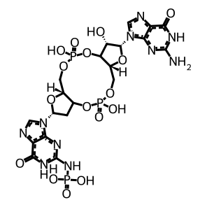 Nc1nc2c(ncn2[C@@H]2O[C@@H]3COP(=O)(O)OC4C[C@H](n5cnc6c(=O)[nH]c(NP(=O)(O)O)nc65)O[C@@H]4COP(=O)(O)OC3[C@@H]2O)c(=O)[nH]1